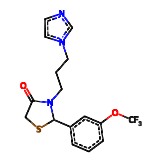 O=C1CSC(c2cccc(OC(F)(F)F)c2)N1CCCn1ccnc1